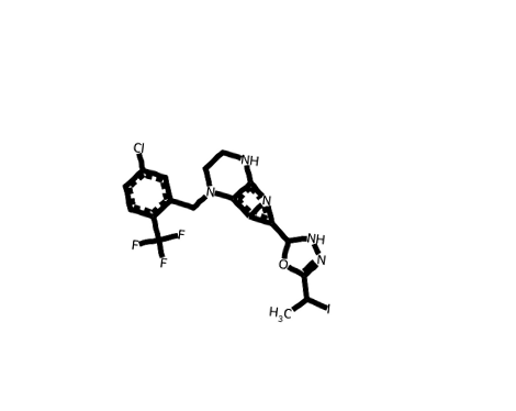 CC(I)C1=NNC(c2c3c4c(n2-3)NCCN4Cc2cc(Cl)ccc2C(F)(F)F)O1